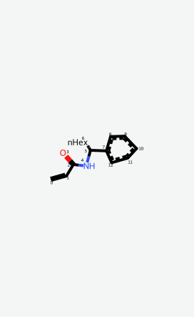 C=CC(=O)NC(CCCCCC)c1ccccc1